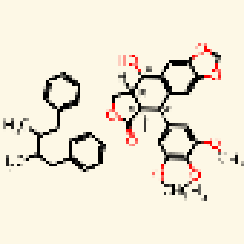 CC(Cc1ccccc1)C(C)Cc1ccccc1.COc1cc([C@@H]2c3cc4c(cc3[C@H](O)[C@H]3COC(=O)[C@H]23)OCO4)cc(OC)c1OC